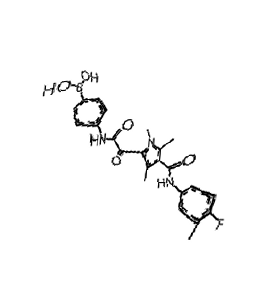 Cc1cc(NC(=O)c2c(C)c(C(=O)C(=O)Nc3ccc(B(O)O)cc3)n(C)c2C)ccc1F